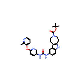 Cc1ncccc1Oc1ccc(NC(=O)Nc2ccc3[nH]c4c(c3c2)CCN(C(=O)OC(C)(C)C)CC4)cn1